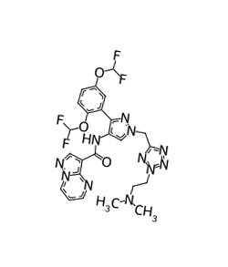 CN(C)CCn1nnc(Cn2cc(NC(=O)c3cnn4cccnc34)c(-c3cc(OC(F)F)ccc3OC(F)F)n2)n1